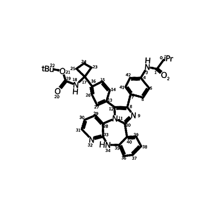 CC(C)C(=O)Nc1ccc(-c2nc3n(c2-c2ccc(C4(NC(=O)OC(C)(C)C)CCC4)cc2)-c2cccnc2Nc2ccccc2-3)cc1